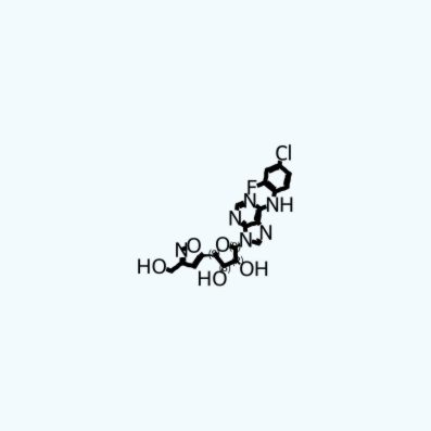 OCc1cc([C@H]2O[C@@H](n3cnc4c(Nc5ccc(Cl)cc5F)ncnc43)[C@H](O)[C@@H]2O)on1